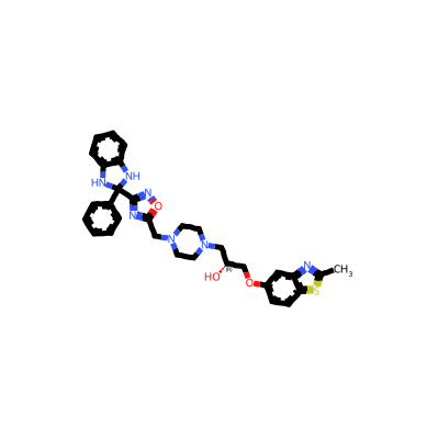 Cc1nc2cc(OC[C@H](O)CN3CCN(Cc4nc(C5(c6ccccc6)Nc6ccccc6N5)no4)CC3)ccc2s1